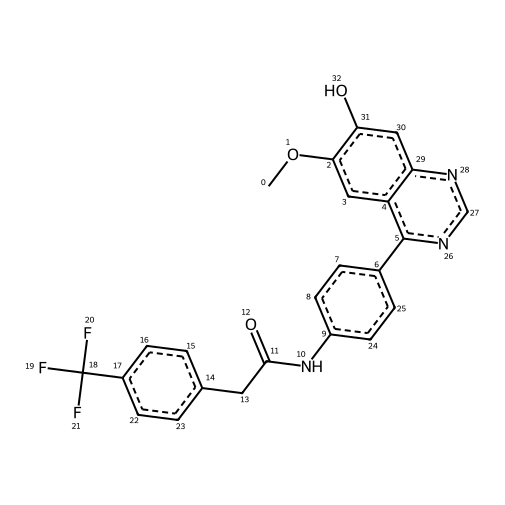 COc1cc2c(-c3ccc(NC(=O)Cc4ccc(C(F)(F)F)cc4)cc3)ncnc2cc1O